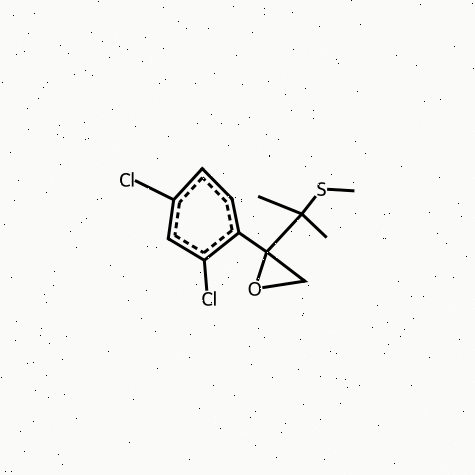 CSC(C)(C)C1(c2ccc(Cl)cc2Cl)CO1